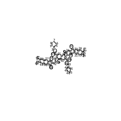 O=C(OCc1ccccc1)C1=CC2c3sc(C=C4C(=O)c5cc6cc(F)c(F)cc6cc5C4=O)cc3C(C(=O)OCc3ccccc3)=CC2c2sc(C=C3C(=O)c4cc5cc(F)c(F)cc5cc4C3=O)cc21